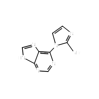 CCCc1nccn1-c1ncnc2[nH]cnc12